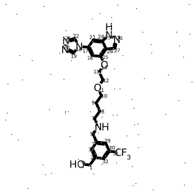 OCc1cc(CNCCCCOCCOc2cc(-n3cnnc3)cc3[nH]ncc23)cc(C(F)(F)F)c1